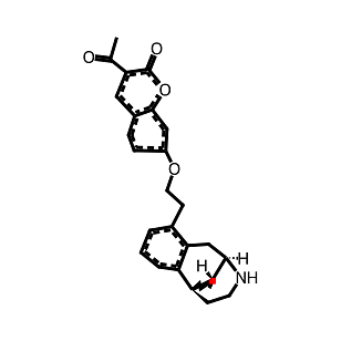 CC(=O)c1cc2ccc(OCCc3cccc4c3C[C@H]3NCC[C@@]45CCCC[C@@H]35)cc2oc1=O